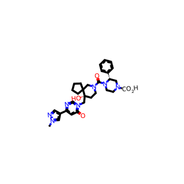 Cn1cc(-c2cc(=O)n(C[C@]3(O)CCN(C(=O)N4CCN(C(=O)O)C[C@H]4c4ccccc4)CC34CCCC4)cn2)cn1